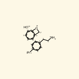 CC(C)c1ccc(CCN)cc1.Cl.c1ccc2c(c1)CO2